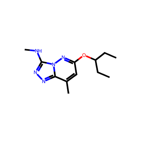 CCC(CC)Oc1cc(C)c2nnc(NC)n2n1